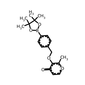 Cc1occc(=O)c1OCc1ccc(B2OC(C)(C)C(C)(C)O2)cc1